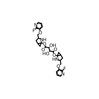 O=C(OC12CC1CC(COc1cccnc1F)N2)C(O)C(O)C(=O)OC12CC1CC(COc1cccnc1F)N2